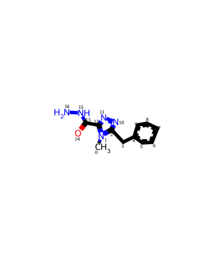 Cn1c(Cc2ccccc2)nnc1C(=O)NN